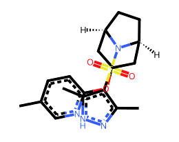 Cc1ccc(O[C@H]2C[C@H]3CC[C@@H](C2)N3S(=O)(=O)c2c(C)n[nH]c2C)nc1